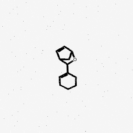 C1=CC2CC1OC2C1=CCCCC1